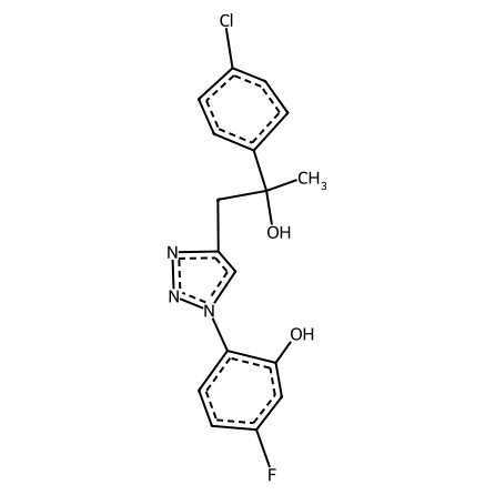 CC(O)(Cc1cn(-c2ccc(F)cc2O)nn1)c1ccc(Cl)cc1